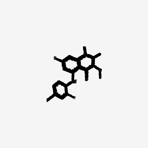 COc1c(C)n(C)c2cc(F)cc(Nc3ccc(I)cc3F)c2c1=O